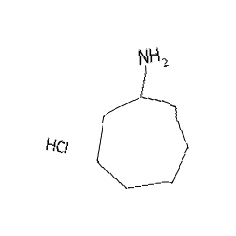 Cl.NC1CCCCCC1